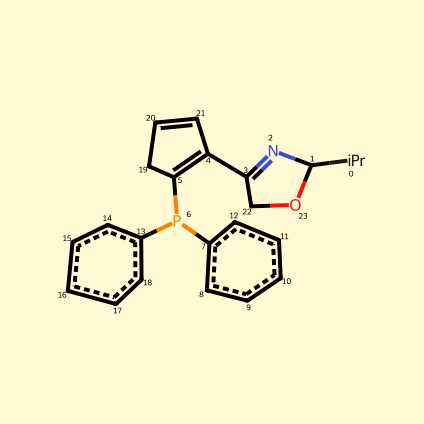 CC(C)C1N=C(C2=C(P(c3ccccc3)c3ccccc3)CC=C2)CO1